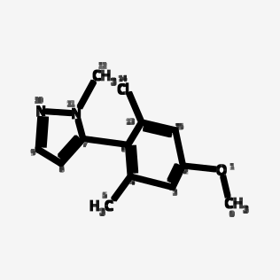 COc1cc(C)c(-c2ccnn2C)c(Cl)c1